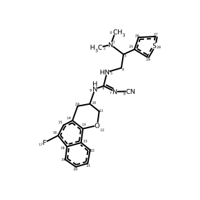 CN(C)C(CNC(=NC#N)NC1COc2c(cc(F)c3ccccc23)C1)c1ccsc1